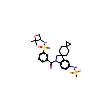 CC1(C)OCC1NS(=O)(=O)c1cccc(C(=O)N2CC3(CCC4(CC4)CC3)c3cc(NS(C)(=O)=O)ccc32)c1